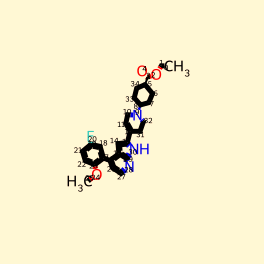 CCOC(=O)[C@H]1CC[C@@H](N2CC=C(c3cc4c(-c5cc(F)ccc5OC)ccnc4[nH]3)CC2)CC1